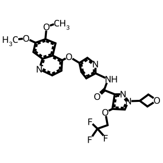 COc1cc2nccc(Oc3ccc(NC(=O)c4nn(C5COC5)cc4OCC(F)(F)F)nc3)c2cc1OC